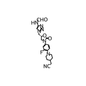 N#CCC1CCN(c2ccc(N3C[C@@H](Cn4cc(NC=O)nn4)OC3=O)cc2F)CC1